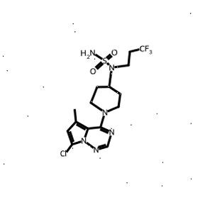 Cc1cc(Cl)n2ncnc(N3CCC(N(CCC(F)(F)F)S(N)(=O)=O)CC3)c12